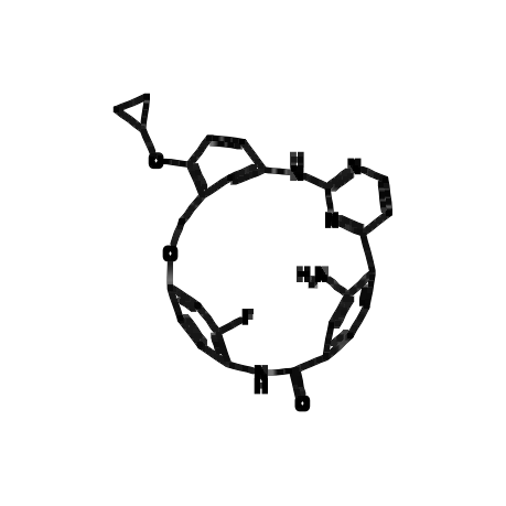 Nc1cc2ccc1-c1ccnc(n1)Nc1ccc(OC3CC3)c(c1)COc1ccc(c(F)c1)NC2=O